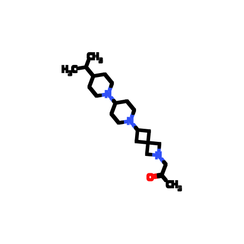 CC(=O)CN1CC2(CC(N3CCC(N4CCC(C(C)C)CC4)CC3)C2)C1